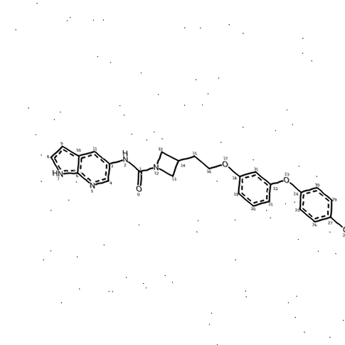 O=C(Nc1cnc2[nH]ccc2c1)N1CC(CCOc2cccc(Oc3ccc(Cl)cc3)c2)C1